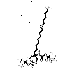 CCCCCCOCCCCCCCCC1(NC(=O)OC(C)(C)C)COP(=O)(OC(C)(C)C)OC1